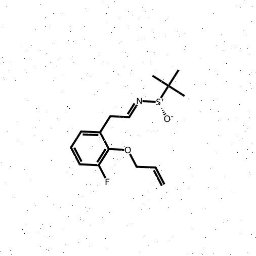 C=CCOc1c(F)cccc1CC=N[S@@+]([O-])C(C)(C)C